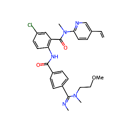 C=Cc1ccc(N(C)C(=O)c2cc(Cl)ccc2NC(=O)c2ccc(C(=NC)N(C)CCOC)cc2)nc1